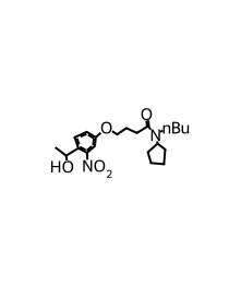 CCCCN(C(=O)CCCOc1ccc(C(C)O)c([N+](=O)[O-])c1)C1CCCC1